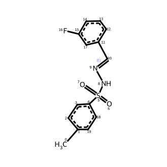 Cc1ccc(S(=O)(=O)N/N=C/c2cccc(F)c2)cc1